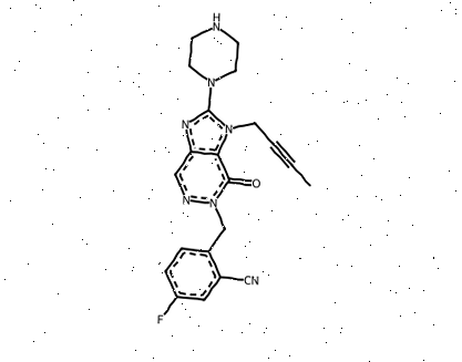 CC#CCn1c(N2CCNCC2)nc2cnn(Cc3ccc(F)cc3C#N)c(=O)c21